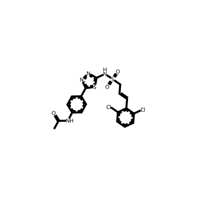 CC(=O)Nc1ccc(-c2nnc(NS(=O)(=O)CC=Cc3c(Cl)cccc3Cl)s2)cc1